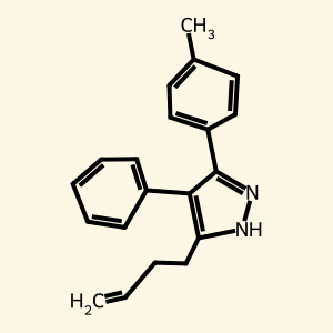 C=CCCc1[nH]nc(-c2ccc(C)cc2)c1-c1ccccc1